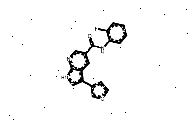 O=C(Nc1ccccc1F)c1cnc2[nH]cc(-c3ccoc3)c2c1